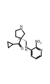 O=C(C1CC1)[C@@]1(CNc2cccnc2[N+](=O)[O-])CCNC1